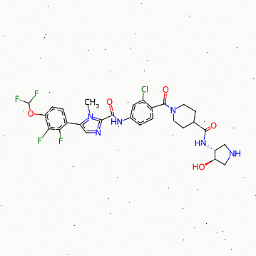 Cn1c(-c2ccc(OC(F)F)c(F)c2F)cnc1C(=O)Nc1ccc(C(=O)N2CCC(C(=O)N[C@@H]3CNC[C@H]3O)CC2)c(Cl)c1